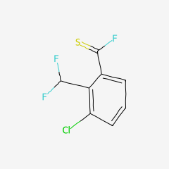 FC(=S)c1cccc(Cl)c1C(F)F